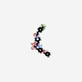 COC(=O)[C@H](Cc1ccc(OCc2ccccc2)cc1)NC(=O)CC1CCN(C(=O)CCc2ccc(C(F)(F)F)cc2)CC1